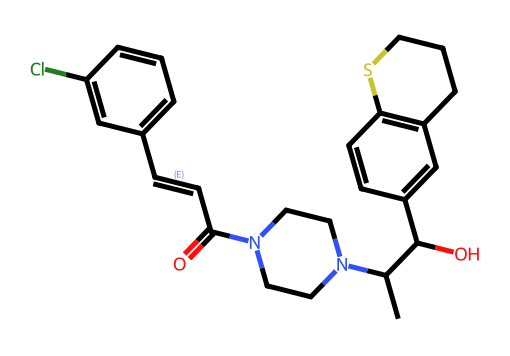 CC(C(O)c1ccc2c(c1)CCCS2)N1CCN(C(=O)/C=C/c2cccc(Cl)c2)CC1